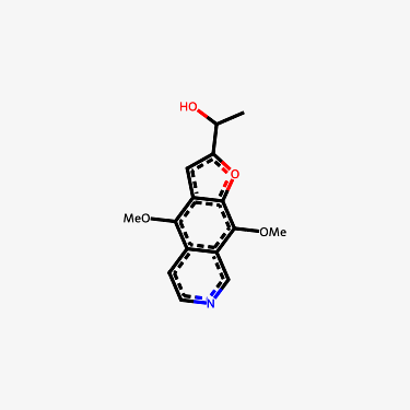 COc1c2ccncc2c(OC)c2oc(C(C)O)cc12